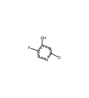 Oc1cc(Cl)ncc1F